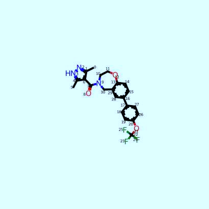 Cc1n[nH]c(C)c1C(=O)N1CCOc2ccc(-c3ccc(OC(F)(F)F)cc3)cc2C1